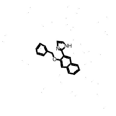 c1ccc(COc2cc3ccccc3cc2-c2ncc[nH]2)cc1